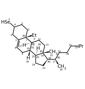 CC[C@]12CCC([SeH])CC1=CC[C@@H]1[C@@H]2CC[C@]2(C)[C@@H]([C@H](C)CCCC(C)C)CC[C@@H]12